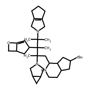 CC(C)(C)C1CC2CCNC(CC(C)(N3CC4CC4C3)C(C)(C3C=C4OCC4C3)C(C)(C)N3CC4=C(CCC4)C3)C2C1